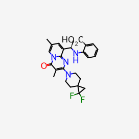 Cc1cc([C@@H](C)Nc2ccccc2C(=O)O)c2nc(N3CCC4(CC3)CC4(F)F)c(C)c(=O)n2c1